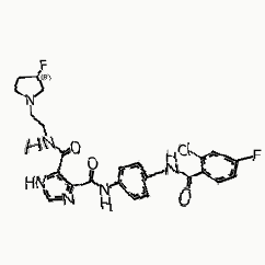 O=C(Nc1ccc(NC(=O)c2nc[nH]c2C(=O)NCCN2CC[C@@H](F)C2)cc1)c1ccc(F)cc1Cl